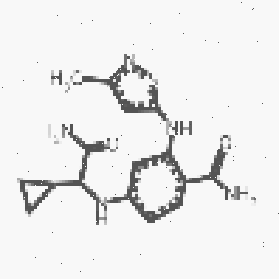 Cc1cc(Nc2cc(NC(C(N)=O)C3CC3)ccc2C(N)=O)sn1